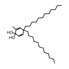 CCCCCCCCCCCCC1(CCCCCCCCCCCC)C=CC(O)(O)C(C)=C1